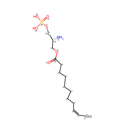 CCCCCCCC/C=C\CCCCCCCC(=O)OC[C@@H](N)COP(=O)(O)O